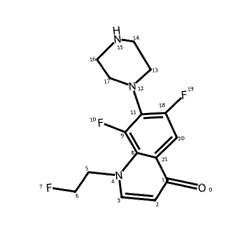 O=c1ccn(CCF)c2c(F)c(N3CCNCC3)c(F)cc12